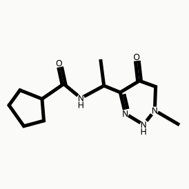 CC(NC(=O)C1CCCC1)C1=NNN(C)CC1=O